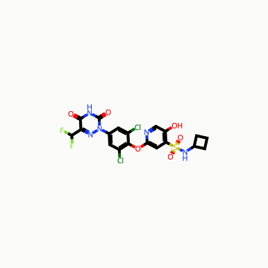 O=c1[nH]c(=O)n(-c2cc(Cl)c(Oc3cc(S(=O)(=O)NC4CCC4)c(O)cn3)c(Cl)c2)nc1C(F)F